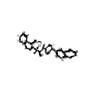 Cc1c(C(F)(F)C(=N)NC(=N)/C=C\C(=N)c2cnc3ccccc3c2)ccc2c1C=CCN2